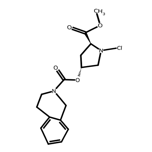 COC(=O)[C@@H]1C[C@@H](OC(=O)N2CCc3ccccc3C2)CN1Cl